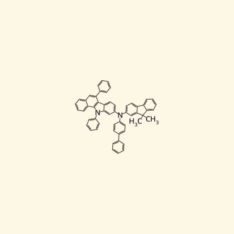 CC1(C)c2ccccc2-c2ccc(N(c3ccc(-c4ccccc4)cc3)c3ccc4c5c(-c6ccccc6)cc6ccccc6c5n(-c5ccccc5)c4c3)cc21